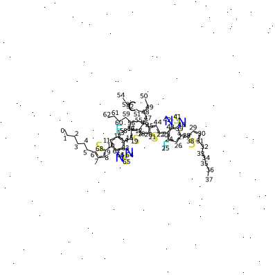 CCCCCCc1ccc(-c2cc(F)c(-c3cc4c(s3)-c3sc(-c5c(F)cc(-c6ccc(CCCCCC)s6)c6nsnc56)cc3C4(CC(CC)CCCC)CC(CC)CCCC)c3nsnc23)s1